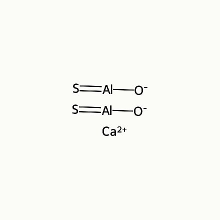 [Ca+2].[O-][Al]=[S].[O-][Al]=[S]